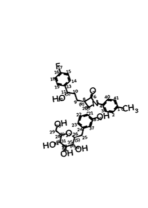 Cc1ccc(N2C(=O)[C@H](CC[C@H](O)c3ccc(F)cc3)[C@H]2c2ccc(C[C@@H]3O[C@H](CO)[C@@H](O)[C@H](O)[C@H]3O)cc2O)cc1